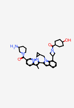 Cc1c(-c2cc3cccc(C4CN(C(=O)C5CCC(O)CC5)C4)c3n2CC2CC2)nn2cc(C(=O)N3CCCC(N)C3)ccc12